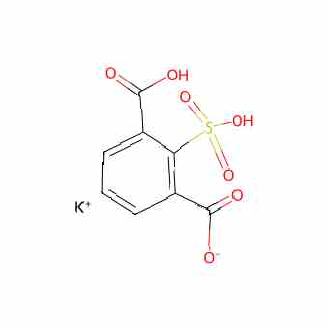 O=C([O-])c1cccc(C(=O)O)c1S(=O)(=O)O.[K+]